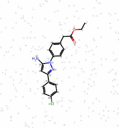 CCOC(=O)Cc1ccc(-n2nc(-c3ccc(Cl)cc3)cc2N)cc1